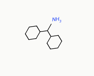 CC(C1CCCCC1)C1CCCCC1.N